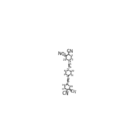 N#Cc1ccc(C#Cc2ccc(C#Cc3ccc(C#N)c(C#N)c3)cc2)cc1C#N